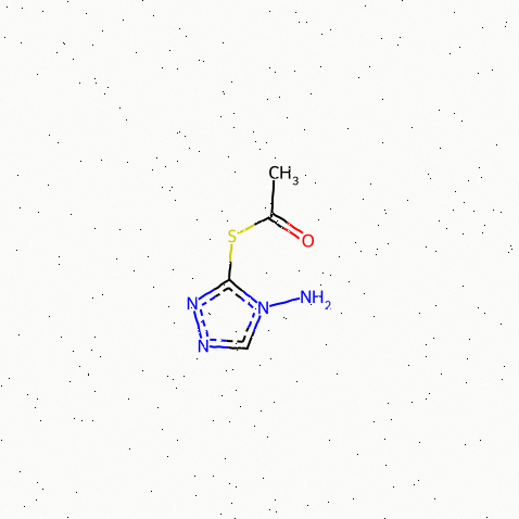 CC(=O)Sc1nncn1N